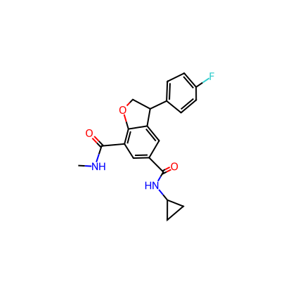 CNC(=O)c1cc(C(=O)NC2CC2)cc2c1OCC2c1ccc(F)cc1